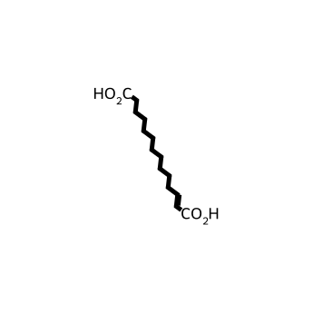 O=C(O)C=CCCCCCCCCCCC(=O)O